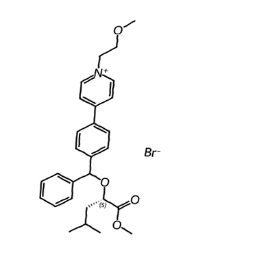 COCC[n+]1ccc(-c2ccc(C(O[C@@H](CC(C)C)C(=O)OC)c3ccccc3)cc2)cc1.[Br-]